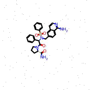 NC(=O)[C@@H]1CCCN1C(=O)[C@@H](c1ccccc1)N(Cc1ccc2c(N)nccc2c1)S(=O)(=O)c1ccccc1